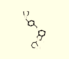 O=C1c2cccc(OCc3ccc(CN4CCOCC4)cc3)c2CN1C1CCCNC1